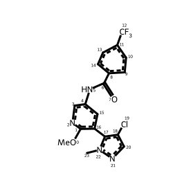 COc1ncc(NC(=O)c2ccc(C(F)(F)F)cc2)cc1-c1c(Cl)cnn1C